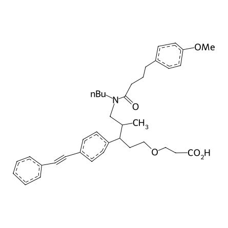 CCCCN(CC(C)C(CCOCCC(=O)O)c1ccc(C#Cc2ccccc2)cc1)C(=O)CCCc1ccc(OC)cc1